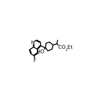 CCOC(=O)C(C)C1CCC(O)(c2ccnc3ccc(F)cc23)CC1